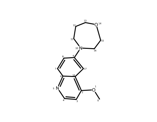 COc1ccnc2ccc(N3CCCOCC3)cc12